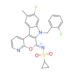 Cc1cc2c3c4cccnc4o/c(=N\S(=O)(=O)C4CC4)c3n(Cc3ccccc3F)c2cc1F